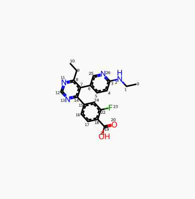 CCNc1ccc(-c2c(CC)ncnc2-c2ccc(C(=O)O)c(F)c2)cn1